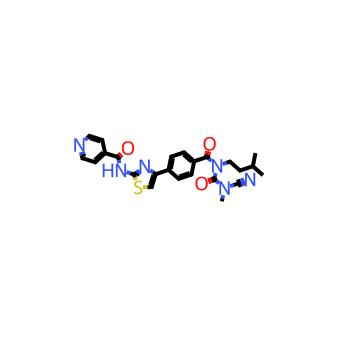 CC(C)CCN(C(=O)c1ccc(-c2csc(NC(=O)c3ccncc3)n2)cc1)C(=O)N(C)C#N